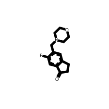 O=C1CCc2cc(CN3CCOCC3)c(F)cc21